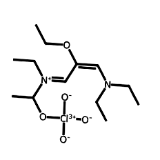 CCOC(=CN(CC)CC)C=[N+](CC)C(C)O[Cl+3]([O-])([O-])[O-]